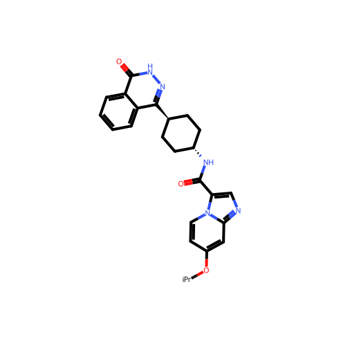 CC(C)Oc1ccn2c(C(=O)N[C@H]3CC[C@H](c4n[nH]c(=O)c5ccccc54)CC3)cnc2c1